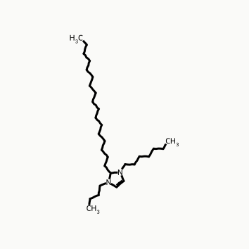 CCCCCCCCCCCCCCCCCC1N(CCCC)C=CN1CCCCCCC